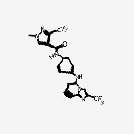 Cn1cc(C(=O)NC2CCC(Nc3cccc4nc(C(F)(F)F)cn34)CC2)c(C(F)(F)F)n1